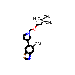 COc1cc2ncsc2cc1-c1ccn(COCC[Si](C)(C)C)c1